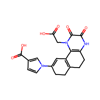 O=C(O)Cn1c2c([nH]c(=O)c1=O)CCC1=C2C=C(n2ccc(C(=O)O)c2)CC1